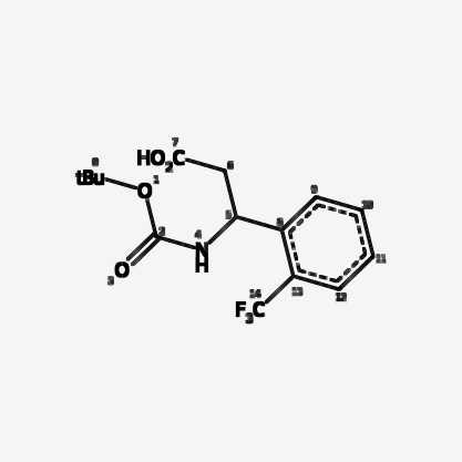 CC(C)(C)OC(=O)NC(CC(=O)O)c1ccccc1C(F)(F)F